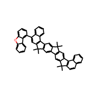 CC1(C)c2cc3c(cc2-c2cc4c(cc21)-c1c(cc(-c2cccc5oc6ccccc6c25)c2ccccc12)C4(C)C)C(C)(C)c1ccc2ccccc2c1-3